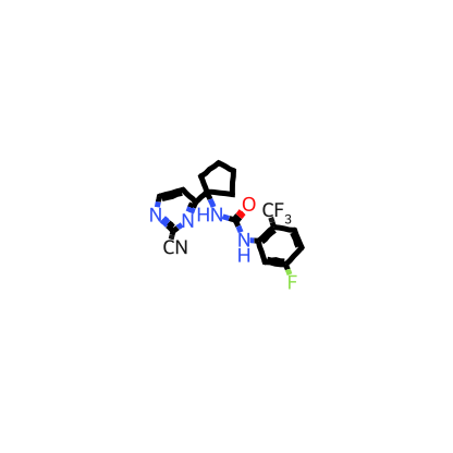 N#Cc1nccc(C2(NC(=O)Nc3cc(F)ccc3C(F)(F)F)CCCC2)n1